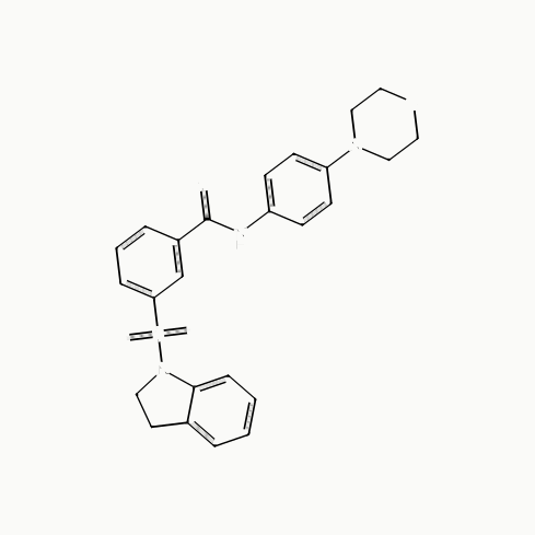 O=C(Nc1ccc(N2CCOCC2)cc1)c1cccc(S(=O)(=O)N2CCc3ccccc32)c1